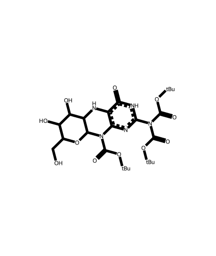 CC(C)(C)OC(=O)N(C(=O)OC(C)(C)C)c1nc2c(c(=O)[nH]1)NC1C(O)C(O)C(CO)OC1N2C(=O)OC(C)(C)C